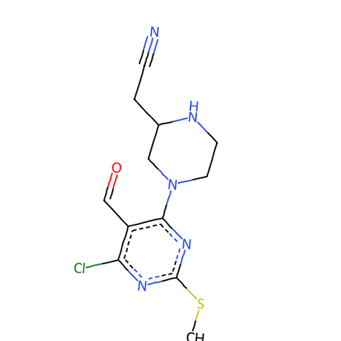 CSc1nc(Cl)c(C=O)c(N2CCNC(CC#N)C2)n1